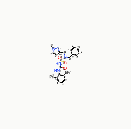 CC(C)c1cccc(C(C)C)c1NC(=O)NS(=O)(=O)N(Cc1ccccc1)Cc1ccn(C)n1